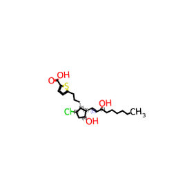 CCCCCC[C@H](O)/C=C/[C@@H]1[C@@H](CCCc2ccc(C(=O)O)s2)[C@H](Cl)C[C@H]1O